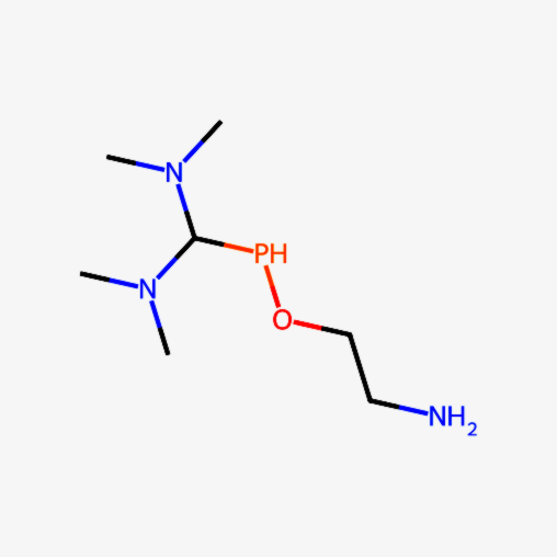 CN(C)C(POCCN)N(C)C